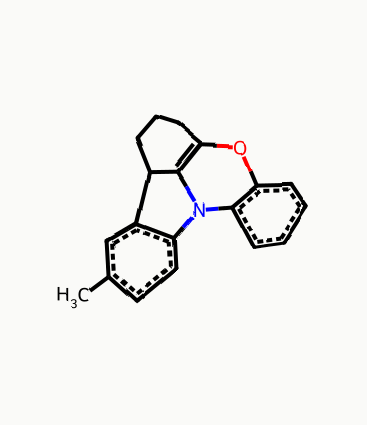 Cc1ccc2c(c1)C1CCCC3=C1N2c1ccccc1O3